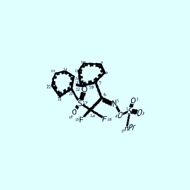 CCCS(=O)(=O)ON=C(c1ccccc1C)C(F)(F)S(=O)(=O)c1ccccc1